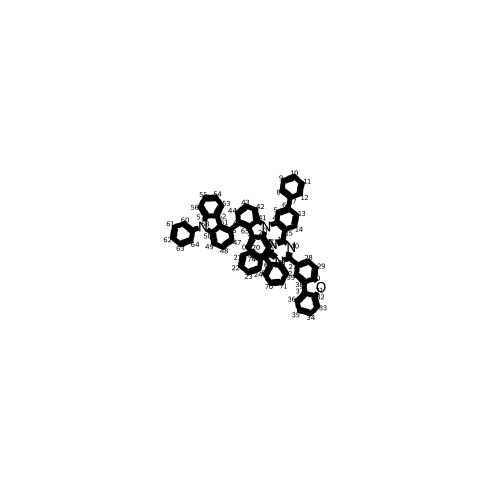 C1=c2c(n(-c3cc(-c4ccccc4)ccc3-c3nc(-c4ccccc4)nc(-c4ccc5oc6ccccc6c5c4)n3)c3cccc(-c4cccc5c4c4ccccc4n5-c4ccccc4)c23)=CC(c2ccccc2)C1